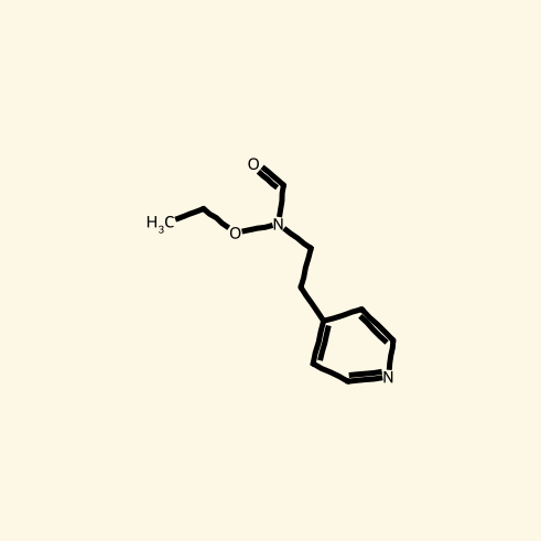 CCON(C=O)CCc1ccncc1